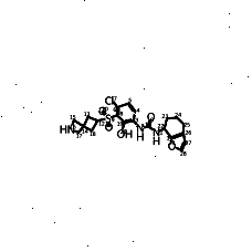 O=C(Nc1ccc(Cl)c(S(=O)(=O)C2CC3(CNC3)C2)c1O)NC1CCCc2ccoc21